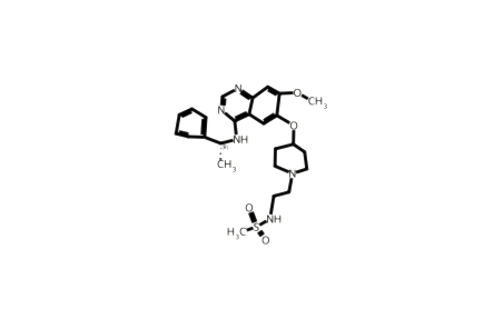 COc1cc2ncnc(N[C@H](C)c3ccccc3)c2cc1OC1CCN(CCNS(C)(=O)=O)CC1